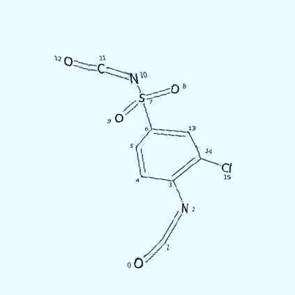 O=C=Nc1ccc(S(=O)(=O)N=C=O)cc1Cl